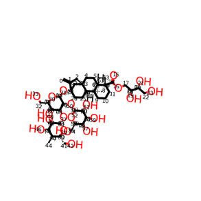 C=C1C[C@@]23CC[C@H]4[C@@](C)(CCC[C@@]4(C)C(=O)OC[C@H](O)[C@H](O)CO)[C@@H]2CC[C@]1(O[C@@H]1O[C@H](CO)[C@@H](O)[C@H](O[C@@H]2O[C@H](CO)[C@@H](C)[C@H](O)[C@H]2O)[C@H]1O[C@@H]1O[C@H](CO)[C@@H](O)[C@H](O)[C@H]1O)C3